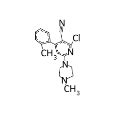 Cc1ccccc1-c1cc(N2CCN(C)CC2)nc(Cl)c1C#N